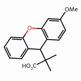 COc1ccc2c(c1)Oc1ccccc1C2C(C)(C)C(=O)O